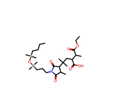 CCCC[Si](C)(C)O[Si](C)(C)CCCN1C(=O)C(C)C(C(C)(C)CC(C(=O)O)C(C)C(=O)OCC)C1=O